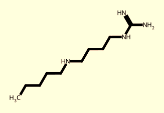 CCCCCNCCCCNC(=N)N